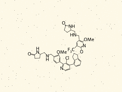 COc1cc(-c2nccc(-c3cccc4c3CC[C@@H]4Oc3nc(OC)c(CNCC4CCC(=O)N4)cc3C(F)(F)F)c2Cl)ccc1CNCC1CCC(=O)N1